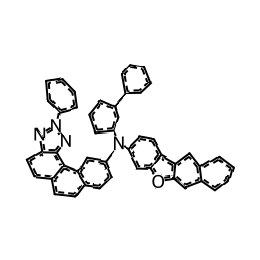 c1ccc(-c2cccc(N(c3ccc4c(c3)oc3cc5ccccc5cc34)c3ccc4ccc5ccc6nn(-c7ccccc7)nc6c5c4c3)c2)cc1